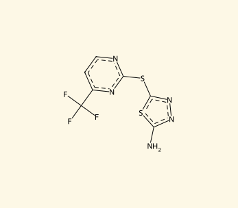 Nc1nnc(Sc2nccc(C(F)(F)F)n2)s1